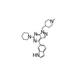 CN1CCC(Cn2ncc3c(-c4ccc5cc[nH]c5c4)nc(N4CCCCC4)nc32)CC1